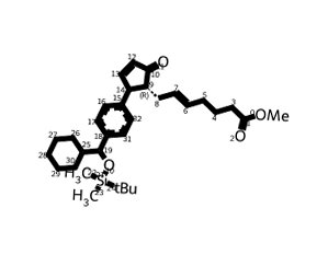 COC(=O)CCCC=CC[C@H]1C(=O)C=CC1c1ccc(C(O[Si](C)(C)C(C)(C)C)C2CCCCC2)cc1